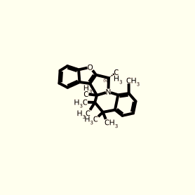 Cc1cccc2c1N1[C@@H](C)c3oc4ccccc4c3C1(C)C(C)(C)C2(C)C